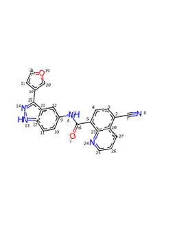 N#Cc1ccc(C(=O)Nc2ccc3[nH]nc(-c4ccoc4)c3c2)c2ncccc12